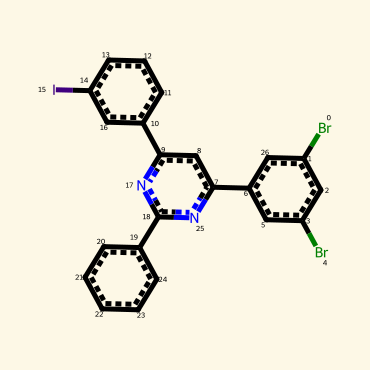 Brc1cc(Br)cc(-c2cc(-c3cccc(I)c3)nc(-c3ccccc3)n2)c1